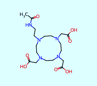 CC(=O)NCCN1CCN(CC(=O)O)CCN(CC(=O)O)CCN(CC(=O)O)CC1